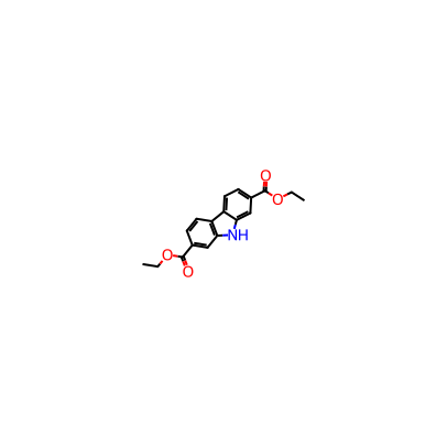 CCOC(=O)c1ccc2c(c1)[nH]c1cc(C(=O)OCC)ccc12